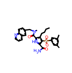 CCCCc1c(C(=O)N(C)Cc2ccc3ncccc3c2)[nH]c(C(N)=O)c1S(=O)(=O)c1cc(C)cc(C)c1